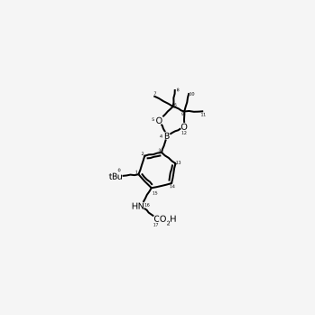 CC(C)(C)c1cc(B2OC(C)(C)C(C)(C)O2)ccc1NC(=O)O